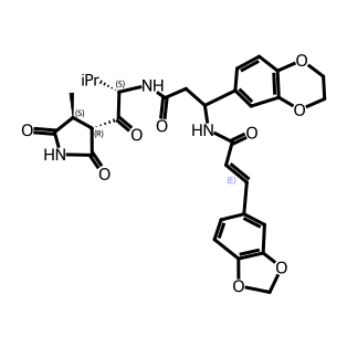 CC(C)[C@H](NC(=O)CC(NC(=O)/C=C/c1ccc2c(c1)OCO2)c1ccc2c(c1)OCCO2)C(=O)[C@@H]1C(=O)NC(=O)[C@H]1C